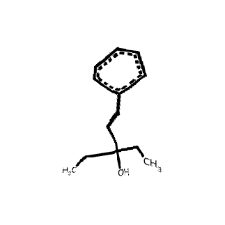 CCC(O)(CC)CCc1ccccc1